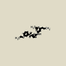 [CH2]CCc1cc(Nc2ncc(S(=O)(=O)c3cccc(OCC)c3)s2)nc(C)n1